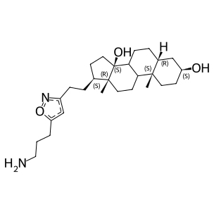 C[C@]12CC[C@H](O)C[C@H]1CCC1C2CC[C@]2(C)[C@@H](CCc3cc(CCCN)on3)CC[C@]12O